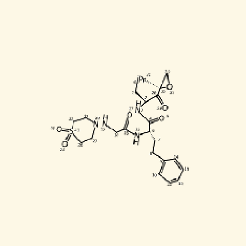 CC(C)C[C@H](NC(=O)[C@H](CCc1ccccc1)NC(=O)CNN1CCS(=O)(=O)CC1)C(=O)[C@@]1(C)CO1